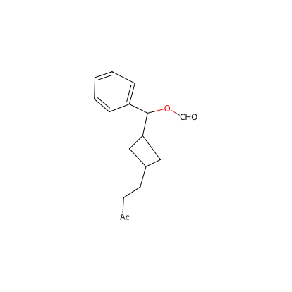 CC(=O)CCC1CC(C(OC=O)c2ccccc2)C1